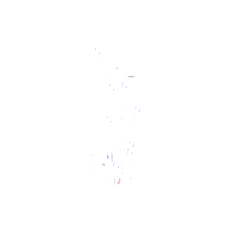 CC(C)Nc1cc(-c2ccc3cc(C#N)cnn23)ncc1-c1nnc(N2C[C@H]3CC[C@@H](C2)[C@H]3NC(=O)[C@@H](C)O)s1